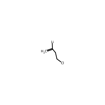 [Li][C](=C)CCCl